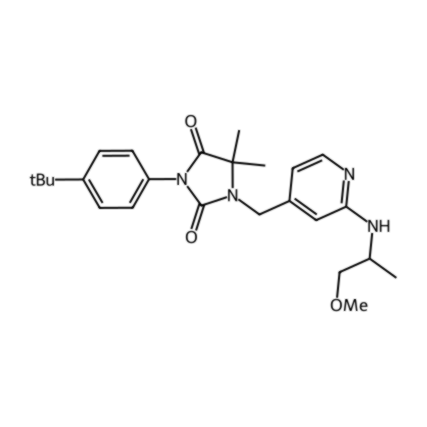 COCC(C)Nc1cc(CN2C(=O)N(c3ccc(C(C)(C)C)cc3)C(=O)C2(C)C)ccn1